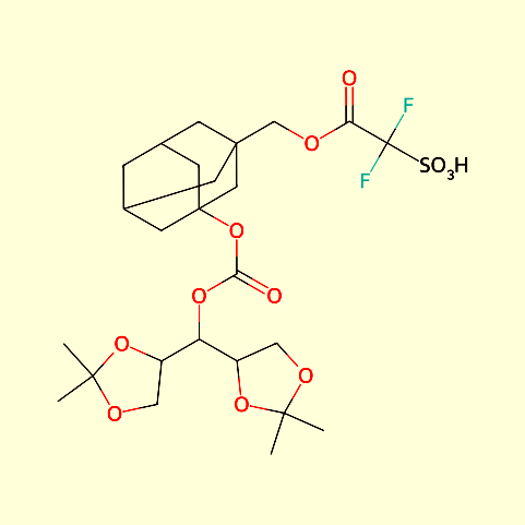 CC1(C)OCC(C(OC(=O)OC23CC4CC(CC(COC(=O)C(F)(F)S(=O)(=O)O)(C4)C2)C3)C2COC(C)(C)O2)O1